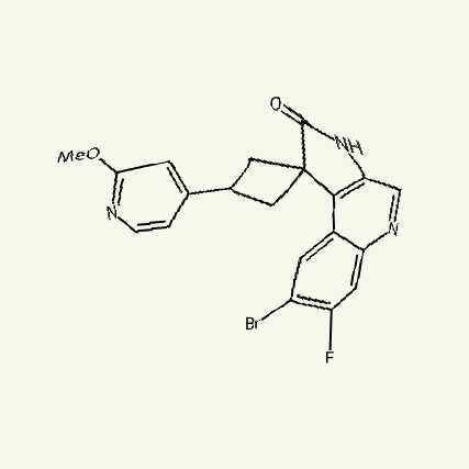 COc1cc(C2CC3(C2)C(=O)Nc2cnc4cc(F)c(Br)cc4c23)ccn1